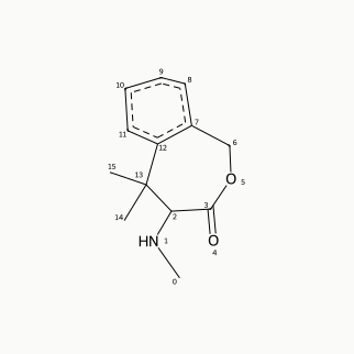 CNC1C(=O)OCc2ccccc2C1(C)C